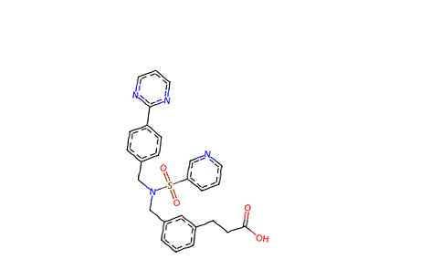 O=C(O)CCc1cccc(CN(Cc2ccc(-c3ncccn3)cc2)S(=O)(=O)c2cccnc2)c1